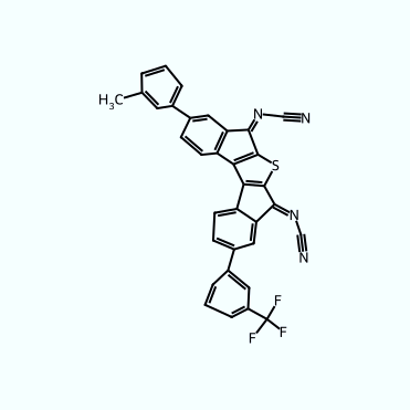 Cc1cccc(-c2ccc3c(c2)/c(=N/C#N)c2sc4/c(=N/C#N)c5cc(-c6cccc(C(F)(F)F)c6)ccc5c4c23)c1